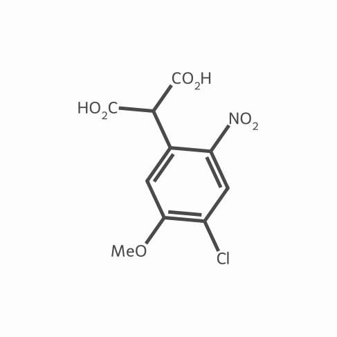 COc1cc(C(C(=O)O)C(=O)O)c([N+](=O)[O-])cc1Cl